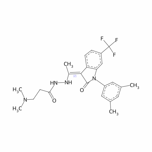 C/C(NNC(=O)CCN(C)C)=C1/C(=O)N(c2cc(C)cc(C)c2)c2cc(C(F)(F)F)ccc21